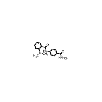 CN(C)c1ccccc1C(=O)Nc1ccc(C(=O)NO)cc1